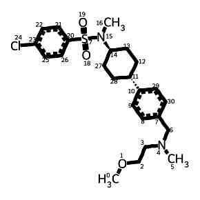 COCCN(C)Cc1ccc([C@H]2CC[C@H](N(C)S(=O)(=O)c3ccc(Cl)cc3)CC2)cc1